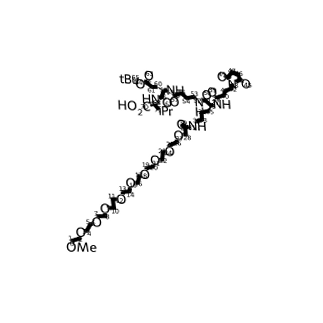 COCCOCCOCCOCCOCCOCCOCCOCCOCCOCC(=O)NCCCC[C@H](NC(=O)CCCN1C(=O)C=CC1=O)C(=O)NCCCC(=O)N[C@@H](CCC(=O)OC(C)(C)C)C(=O)N[C@H](C(=O)O)C(C)C